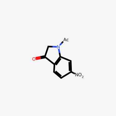 CC(=O)N1CC(=O)c2ccc([N+](=O)[O-])cc21